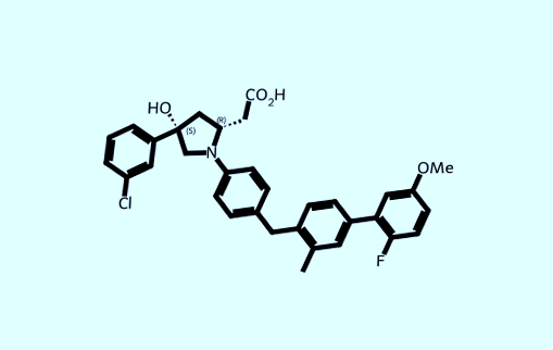 COc1ccc(F)c(-c2ccc(Cc3ccc(N4C[C@@](O)(c5cccc(Cl)c5)C[C@@H]4CC(=O)O)cc3)c(C)c2)c1